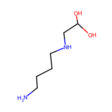 NCCCCNCC(O)O